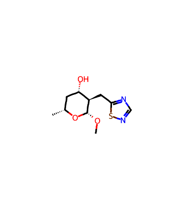 CO[C@@H]1O[C@H](C)C[C@H](O)[C@H]1Cc1ncns1